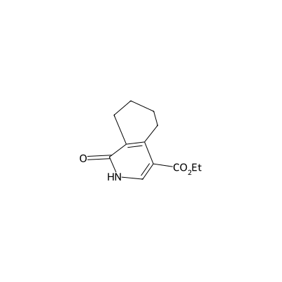 CCOC(=O)c1c[nH]c(=O)c2c1CCCC2